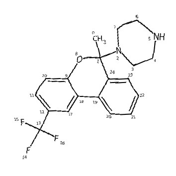 CC1(N2CCNCC2)Oc2ccc(C(F)(F)F)cc2-c2ccccc21